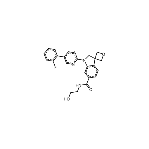 O=C(NCCO)c1ccc2c(c1)N(c1ncc(-c3ccccc3F)cn1)CC21COC1